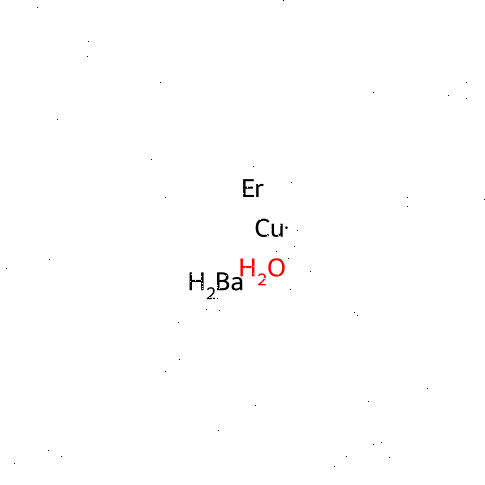 O.[BaH2].[Cu].[Er]